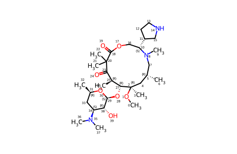 CO[C@]1(C)C[C@@H](C)CN(C)[C@@H](C2CCNC2)COC(=O)C(C)(C)C(=O)[C@H](C)[C@H]1O[C@@H]1O[C@H](C)C[C@H](N(C)C)[C@H]1O